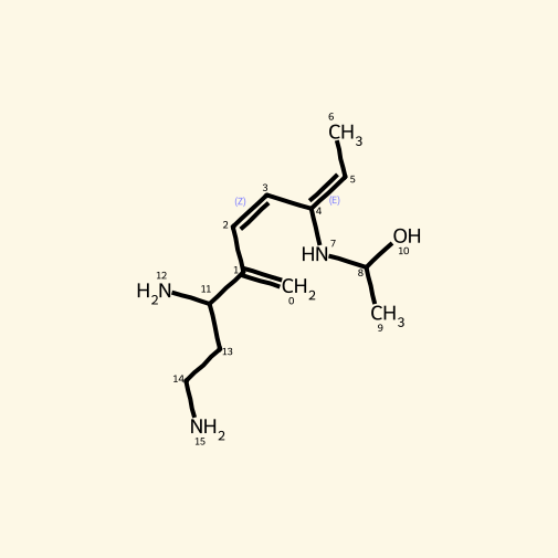 C=C(/C=C\C(=C/C)NC(C)O)C(N)CCN